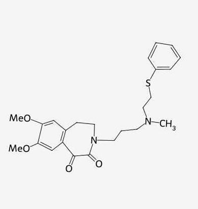 COc1cc2c(cc1OC)C(=O)C(=O)N(CCCN(C)CCSc1ccccc1)CC2